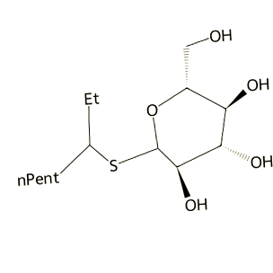 CCCCCC(CC)SC1O[C@H](CO)[C@@H](O)[C@H](O)[C@H]1O